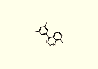 Cc1cc(C)cc(-c2nnnc3c(C)cccc23)c1